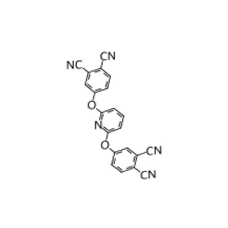 N#Cc1ccc(Oc2cccc(Oc3ccc(C#N)c(C#N)c3)n2)cc1C#N